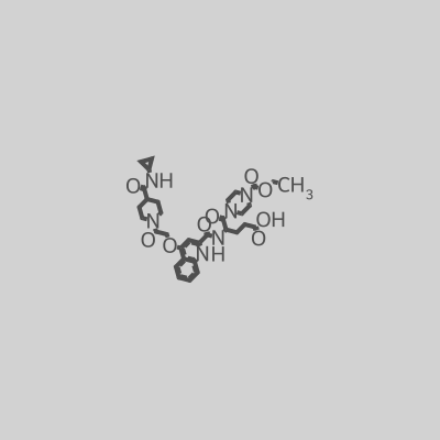 CCOC(=O)N1CCN(C(=O)C(CCC(=O)O)NC(=O)c2cc(OCC(=O)N3CCC(C(=O)NC4CC4)CC3)c3ccccc3n2)CC1